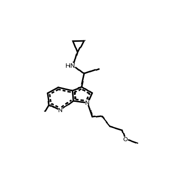 COCCCCn1cc(C(C)NC2CC2)c2ccc(C)nc21